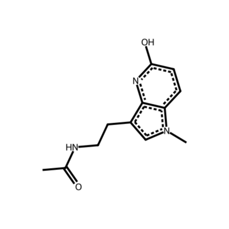 CC(=O)NCCc1cn(C)c2ccc(O)nc12